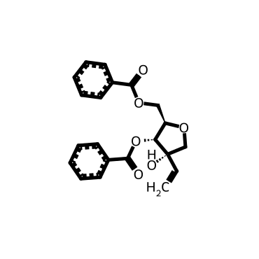 C=C[C@]1(O)CO[C@H](COC(=O)c2ccccc2)[C@H]1OC(=O)c1ccccc1